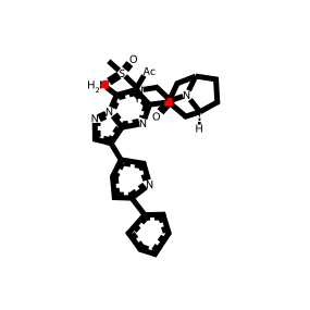 CC(=O)c1c(C2CC3CC[C@@H](C2)N3C(=O)CNS(C)(=O)=O)nc2c(-c3ccc(-c4ccccc4)nc3)cnn2c1N